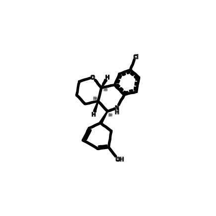 OC1=CC=CC([C@@H]2Nc3ccc(Cl)cc3[C@H]3OCCC[C@H]32)C1